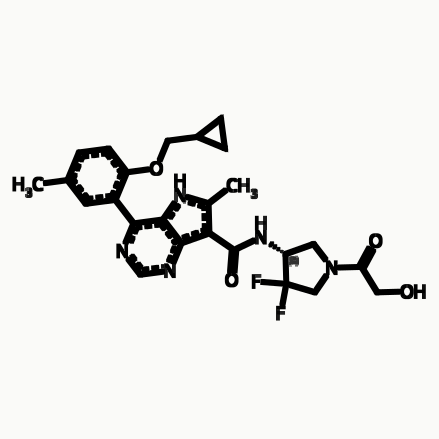 Cc1ccc(OCC2CC2)c(-c2ncnc3c(C(=O)N[C@@H]4CN(C(=O)CO)CC4(F)F)c(C)[nH]c23)c1